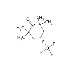 CC1(C)CCCC(C)(C)[N+]1=O.F[B-](F)(F)F